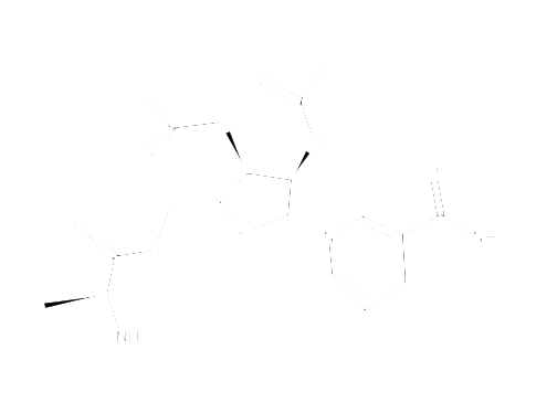 CC(=O)O[C@@H]1[C@H](OC(C)=O)[C@@H](COC(=O)[C@H](C)N)O[C@H]1N1C=CCC(C(N)=O)=C1